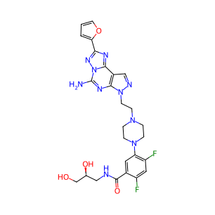 Nc1nc2c(cnn2CCN2CCN(c3cc(C(=O)NC[C@H](O)CO)c(F)cc3F)CC2)c2nc(-c3ccco3)nn12